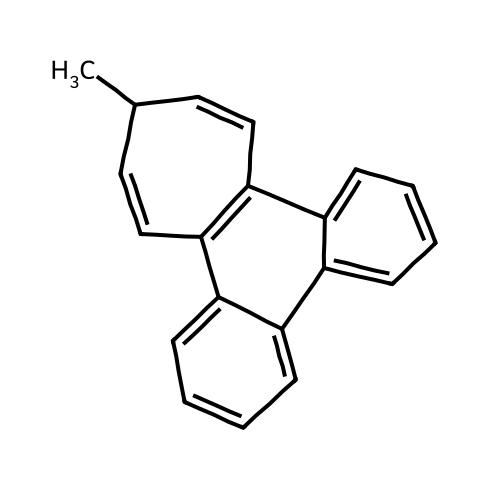 CC1C=Cc2c(c3ccccc3c3ccccc23)C=C1